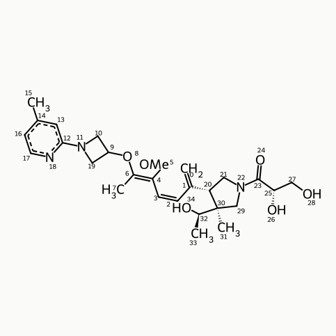 C=C(/C=C\C(OC)=C(/C)OC1CN(c2cc(C)ccn2)C1)[C@@H]1CN(C(=O)[C@@H](O)CO)C[C@@]1(C)[C@@H](C)O